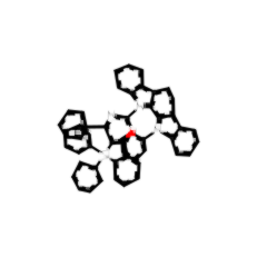 c1ccc(-c2nc(-n3c4ccccc4c4ccc5c6ccccc6n(-c6ccccc6)c5c43)nc3c2[Si](c2ccccc2)(c2ccccc2)c2ccccc2-3)cc1